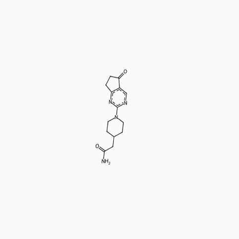 NC(=O)CC1CCN(c2ncc3c(n2)CCC3=O)CC1